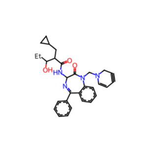 CCC(O)C(CC1CC1)C(=O)NC1N=C(c2ccccc2)c2ccccc2N(CN2C=CC#CC2)C1=O